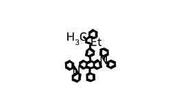 CCC(CC(C)c1ccccc1)c1ccc(-c2c3ccc(N(c4ccccc4)c4ccccc4)cc3c(-c3ccccc3)c3ccc(N(c4ccccc4)c4ccccc4)cc23)cc1